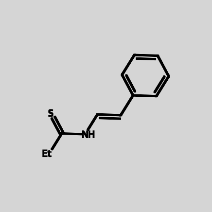 CCC(=S)NC=Cc1ccccc1